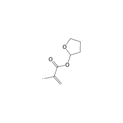 [CH2]C(=C)C(=O)OC1CCCO1